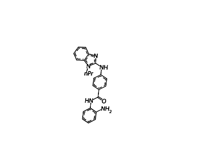 CCCn1c(Nc2ccc(C(=O)Nc3ccccc3N)cc2)nc2ccccc21